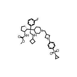 COC(=O)N[C@H]1CCC[C@@H]1[C@](CNC1CCC1)(c1cccc(F)c1)C1CCN(CC2CN(c3ccc(S(=O)(=O)C4CC4)cc3)C2)CC1